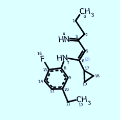 CCCC(=N)/C=C(\Nc1cc(CC)ccc1F)C1CC1